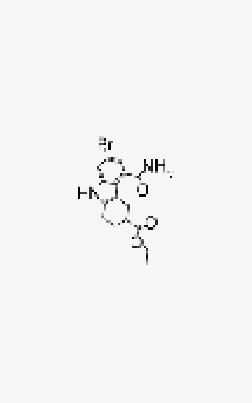 CCOC(=O)C1CCc2[nH]c3cc(Br)cc(C(N)=O)c3c2C1